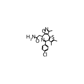 Cc1noc2c1-c1sc(C)c(C)c1C(c1ccc(Cl)cc1)=NC2CC(N)=O